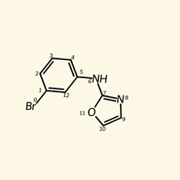 Brc1cccc(Nc2ncco2)c1